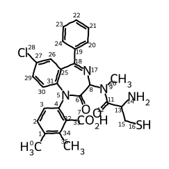 Cc1ccc(N2C(=O)C(N(C)C(=O)C(N)CS)N=C(c3ccccc3)c3cc(Cl)ccc32)c(C(=O)O)c1C